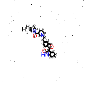 CCN(CC)C(=O)C1CCCN(CCc2ccc3c(c2)COC3=C2C(=O)Nc3ccccc32)C1